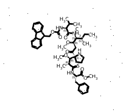 CC[C@H](C)[C@@H]([C@@H](CC(=O)[C@@]1([C@H](OC)[C@@H](C)C(=S)N[C@@H](Cc2ccccc2)C(=O)OC)CCCN1)OC)N(C)C(=O)[C@@H](NC(=O)OCC1c2ccccc2-c2ccccc21)C(C)C